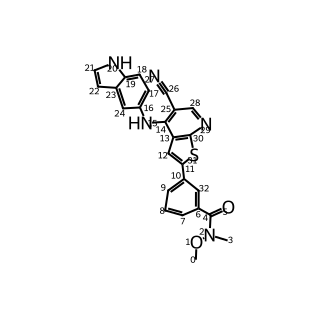 CON(C)C(=O)c1cccc(-c2cc3c(Nc4ccc5[nH]ccc5c4)c(C#N)cnc3s2)c1